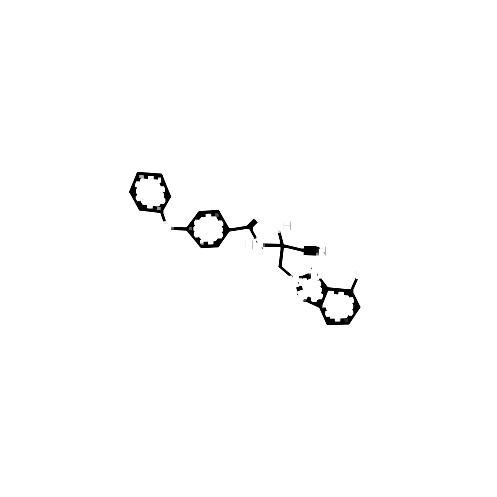 CC(C#N)(Cn1nc2cccc(Cl)c2n1)NC(=O)c1ccc(Oc2ccccc2)cc1